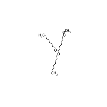 CCCCCCCCOC(CCCCCCOOC)OCCCCCCCC